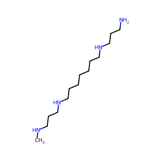 CNCCCNCCCCCCCNCCCN